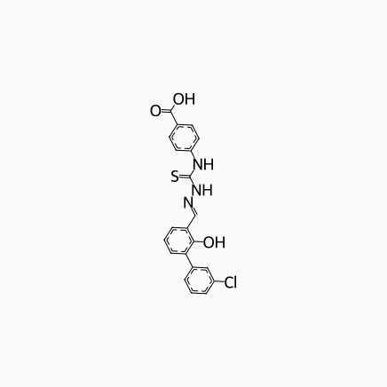 O=C(O)c1ccc(NC(=S)NN=Cc2cccc(-c3cccc(Cl)c3)c2O)cc1